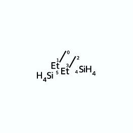 CCC.CCC.[SiH4].[SiH4]